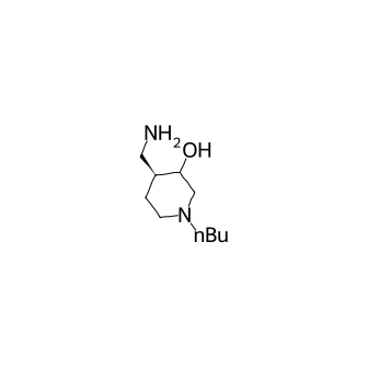 CCCCN1CC[C@@H](CN)C(O)C1